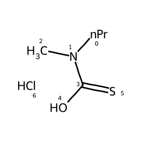 CCCN(C)C(O)=S.Cl